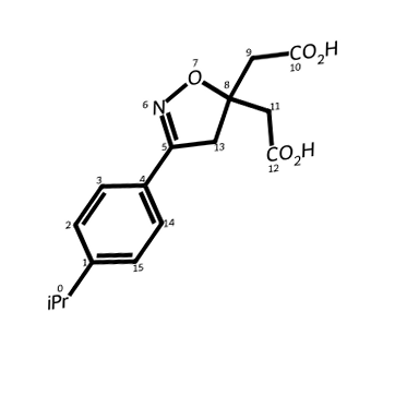 CC(C)c1ccc(C2=NOC(CC(=O)O)(CC(=O)O)C2)cc1